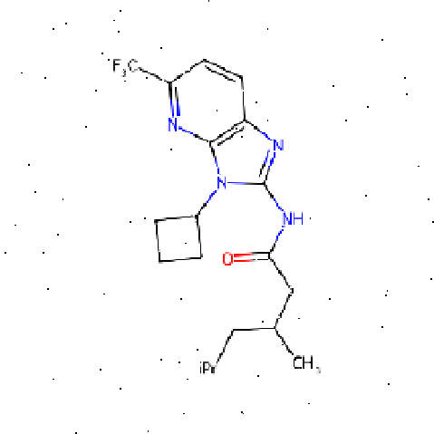 CC(C)CC(C)CC(=O)Nc1nc2ccc(C(F)(F)F)nc2n1C1CCC1